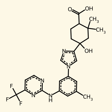 Cc1cc(Nc2nccc(C(F)(F)F)n2)cc(-n2cnc(C3(O)CCC(C(=O)O)C(C)(C)C3)c2)c1